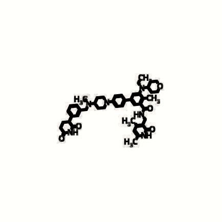 CCN(c1cc(-c2ccc(N3CCC(N(C)Cc4cccc(C5CCC(=O)NC5=O)c4)CC3)cc2)cc(C(=O)NCc2c(C)cc(C)[nH]c2=O)c1C)C1CCOCC1